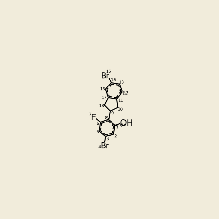 Oc1cc(Br)cc(F)c1C1Cc2ccc(Br)cc2C1